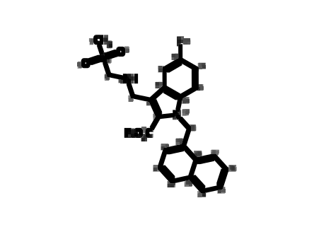 CCOC(=O)c1c(CNCS(C)(=O)=O)c2cc(F)ccc2n1Cc1cccc2ccccc12